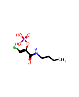 CCCCNC(=O)C(=CBr)OP(=O)(O)O